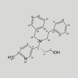 Cc1ccc([C@@H](CCO)N(CCc2ccccc2)Cc2ccccc2)cn1